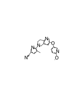 COc1ccc(Oc2cnc3c(c2)CN(c2ncc(C#N)cc2C)CC3)cn1